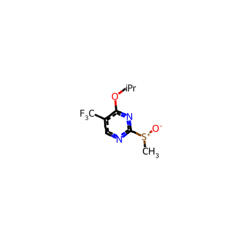 CC(C)Oc1nc([S+](C)[O-])ncc1C(F)(F)F